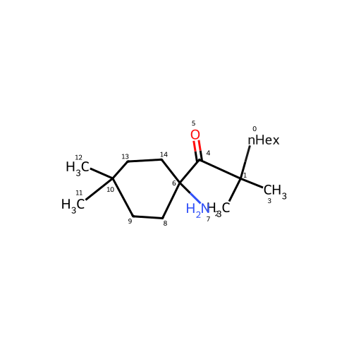 CCCCCCC(C)(C)C(=O)C1(N)CCC(C)(C)CC1